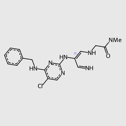 CNC(=O)CN/C=C(\C=N)Nc1ncc(Cl)c(NCc2ccccc2)n1